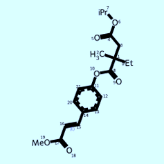 CCC(C)(CC(=O)OC(C)C)C(=O)Oc1ccc(/C=C/C(=O)OC)cc1